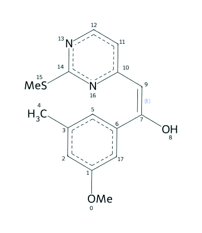 COc1cc(C)cc(/C(O)=C\c2ccnc(SC)n2)c1